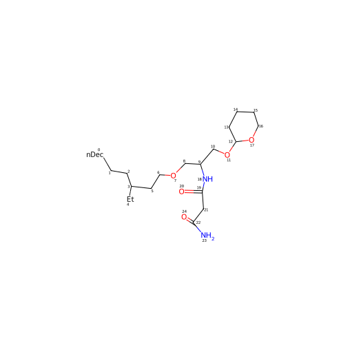 CCCCCCCCCCCCC(CC)CCOCC(COC1CCCCO1)NC(=O)CC(N)=O